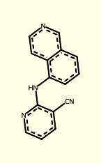 N#Cc1cccnc1Nc1cccc2cnccc12